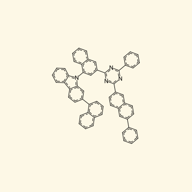 c1ccc(-c2ccc3cc(-c4nc(-c5ccccc5)nc(-c5cc(-n6c7ccccc7c7ccc(-c8cccc9ccccc89)cc76)c6ccccc6c5)n4)ccc3c2)cc1